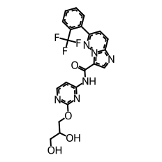 O=C(Nc1ccnc(OCC(O)CO)n1)c1cnc2ccc(-c3ccccc3C(F)(F)F)nn12